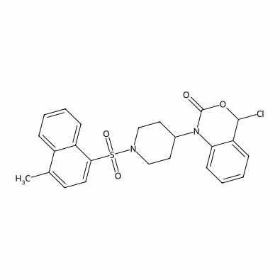 Cc1ccc(S(=O)(=O)N2CCC(N3C(=O)OC(Cl)c4ccccc43)CC2)c2ccccc12